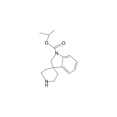 CC(C)OC(=O)N1CC2(CCNCC2)c2ccccc21